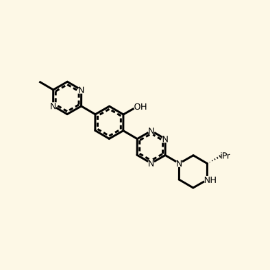 Cc1cnc(-c2ccc(-c3cnc(N4CCN[C@@H](C(C)C)C4)nn3)c(O)c2)cn1